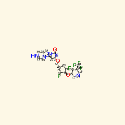 O=c1nc(OCc2cc(F)c(Oc3cncc(C(F)(F)F)c3)c(F)c2)cc2n1CC1CNCCN21